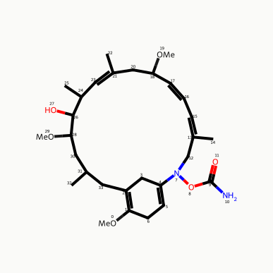 COC1=C2CC(=CC1)N(OC(N)=O)CC(C)=CC=CC(OC)CC(C)=CC(C)C(O)C(OC)CC(C)C2